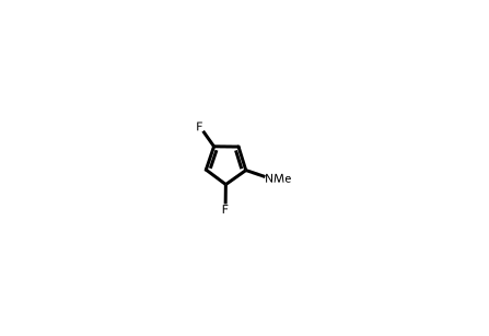 CNC1=CC(F)=CC1F